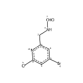 O=CNCc1cc(Br)cc(Cl)n1